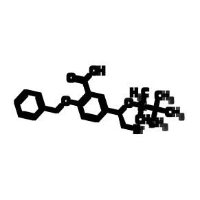 CC(C)(C)[Si](C)(C)O[C@@H](CBr)c1ccc(OCc2ccccc2)c(C(=O)O)c1